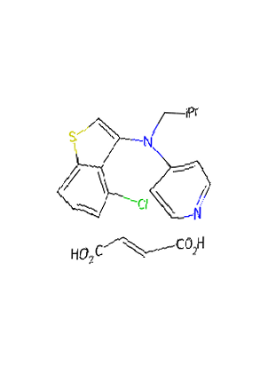 CC(C)CN(c1ccncc1)c1csc2cccc(Cl)c12.O=C(O)C=CC(=O)O